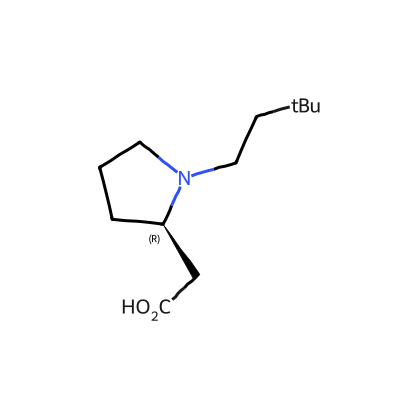 CC(C)(C)CCN1CCC[C@@H]1CC(=O)O